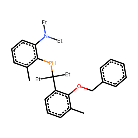 CCN(CC)c1cccc(C)c1PC(CC)(CC)c1cccc(C)c1OCc1ccccc1